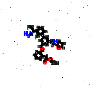 CC(C)(C)OC(=O)Cc1ccccc1OCc1cc(NC[C@@H]2CCCO2)cc(-c2cccc(C(N)CF)c2F)c1